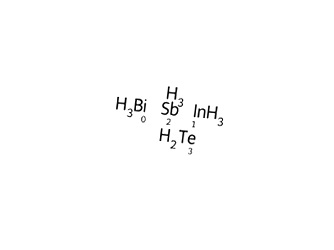 [BiH3].[InH3].[SbH3].[TeH2]